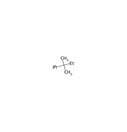 [CH2]CC(C)(C)C(C)C